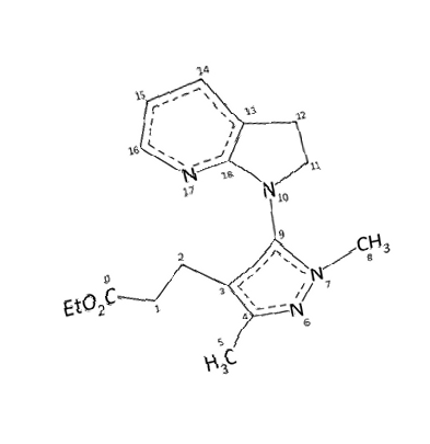 CCOC(=O)CCc1c(C)nn(C)c1N1CCc2cccnc21